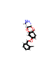 Cc1ccccc1COc1ccc2c(c1)O[C@H](CN)CO2